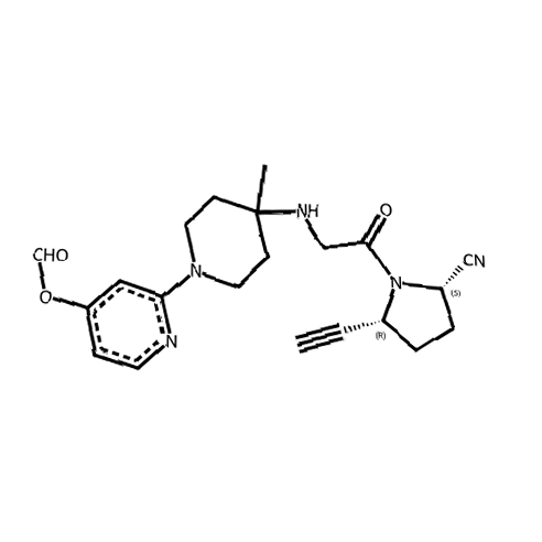 C#C[C@H]1CC[C@@H](C#N)N1C(=O)CNC1(C)CCN(c2cc(OC=O)ccn2)CC1